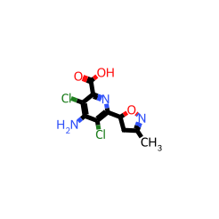 CC1=NOC(c2nc(C(=O)O)c(Cl)c(N)c2Cl)C1